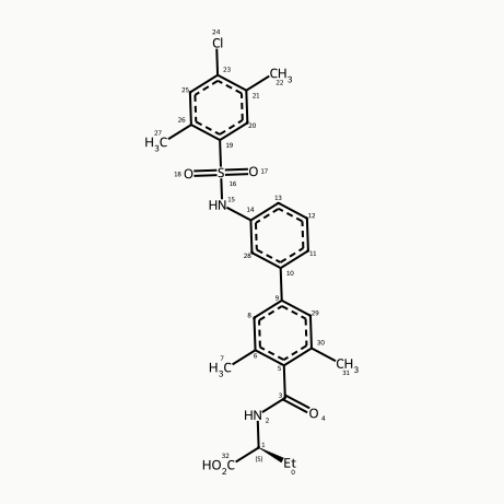 CC[C@H](NC(=O)c1c(C)cc(-c2cccc(NS(=O)(=O)c3cc(C)c(Cl)cc3C)c2)cc1C)C(=O)O